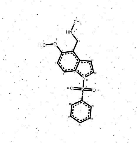 CNCc1c(OC)ccc2c1ccn2S(=O)(=O)c1ccccc1